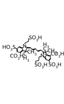 CC1(C)C(/C=C/C=C/C=C2/N(CCCS(=O)(=O)O)c3cc(S(=O)(=O)O)cc(C(=O)O)c3C2(C)C)=[N+](CCCS(=O)(=O)O)c2cc(S(=O)(=O)O)cc(C(=O)O)c21